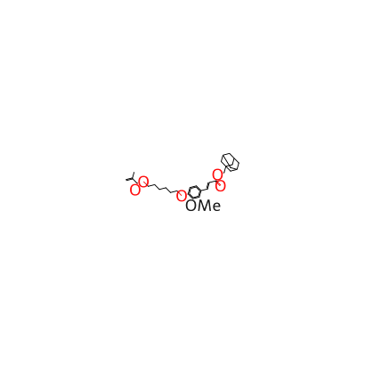 C=C(C)C(=O)OCCCCCCOc1ccc(C=CC(=O)OCC23CC4CC(CC(C4)C2)C3)cc1OC